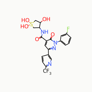 O=C(NC1CS(O)(O)CC1O)c1cc(-c2ccc(C(F)(F)F)nc2)nn(-c2cccc(F)c2)c1=O